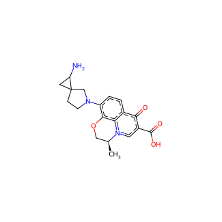 C[C@H]1COc2c(N3CCC4(CC4N)C3)ccc3c(=O)c(C(=O)O)cn1c23